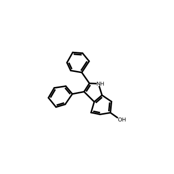 Oc1ccc2c(-c3ccccc3)c(-c3ccccc3)[nH]c2c1